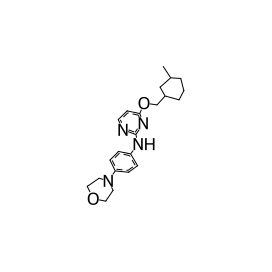 CC1CCCC(COc2ccnc(Nc3ccc(N4CCOCC4)cc3)n2)C1